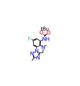 Cc1nc2n(n1)-c1cc(F)cc(NC(=O)OC(C)(C)C)c1N(C)C2